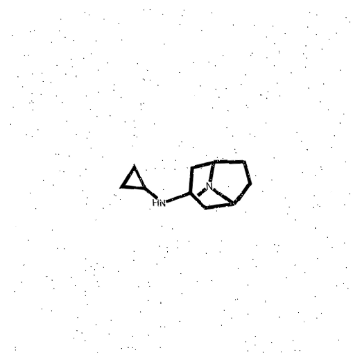 CN1C2CCC1CC(NC1CC1)C2